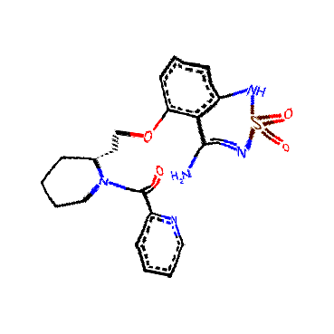 NC1=NS(=O)(=O)Nc2cccc(OC[C@H]3CCCCN3C(=O)c3ccccn3)c21